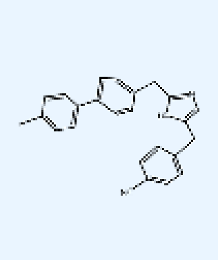 Cc1ccc(-c2ccc(Cc3ncc(Cc4ccc(C#N)cc4)[nH]3)cc2)cc1